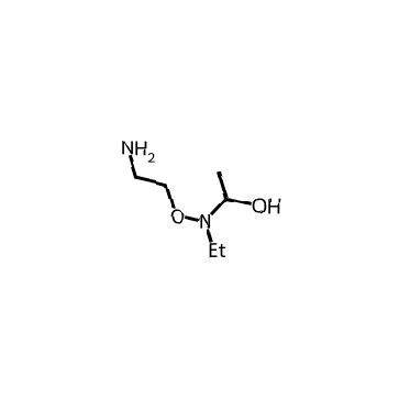 CCN(OCCN)C(C)O